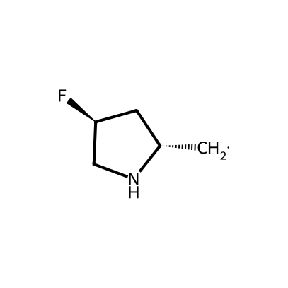 [CH2][C@H]1C[C@H](F)CN1